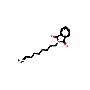 C=CCCCCCCCN1C(=O)c2ccccc2C1=O